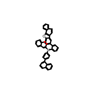 c1ccc(N(c2ccc(-c3cccc4ccccc34)cc2)c2ccc3ccccc3c2)c(-c2ccc3oc4c5ccccc5ccc4c3c2)c1